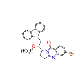 O=C(O)OC(CC1c2ccccc2-c2ccccc21)C1CCc2nc3cc(Br)ccc3c(=O)n21